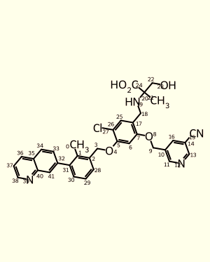 Cc1c(COc2cc(OCc3cncc(C#N)c3)c(CNC(C)(CO)C(=O)O)cc2Cl)cccc1-c1ccc2cccnc2c1